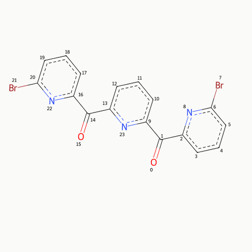 O=C(c1cccc(Br)n1)c1cccc(C(=O)c2cccc(Br)n2)n1